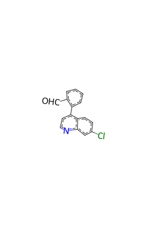 O=Cc1ccccc1-c1ccnc2cc(Cl)ccc12